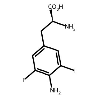 Nc1c(I)cc(C[C@H](N)C(=O)O)cc1I